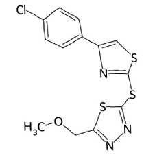 COCc1nnc(Sc2nc(-c3ccc(Cl)cc3)cs2)s1